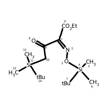 CCOC(=O)C(=NO[Si](C)(C)C(C)(C)C)C(=O)C[Si](C)(C)C(C)(C)C